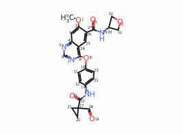 COc1cc2ncnc(Oc3ccc(NC(=O)C4(C=O)CC4)cc3)c2cc1C(=O)NC1COC1